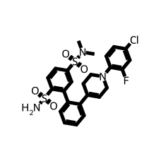 CN(C)S(=O)(=O)c1ccc(S(N)(=O)=O)c(-c2ccccc2C2=CCN(c3ccc(Cl)cc3F)CC2)c1